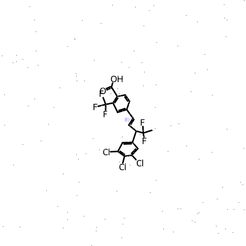 CC(F)(F)C(/C=C/c1ccc(C(=O)O)c(C(F)(F)F)c1)c1cc(Cl)c(Cl)c(Cl)c1